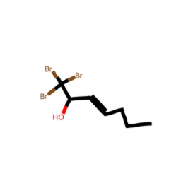 CCCC=CC(O)C(Br)(Br)Br